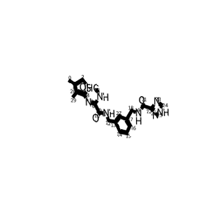 Cc1csc(/N=C(\NC=O)C(=O)NCc2cccc(CNC(=O)c3nc[nH]n3)c2)c1C